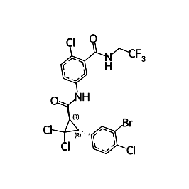 O=C(NCC(F)(F)F)c1cc(NC(=O)[C@H]2[C@H](c3ccc(Cl)c(Br)c3)C2(Cl)Cl)ccc1Cl